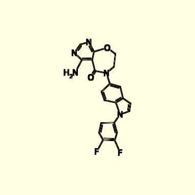 Nc1ncnc2c1C(=O)N(c1ccc3c(ccn3-c3ccc(F)c(F)c3)c1)CCO2